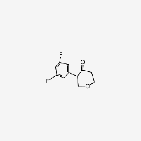 O=C1CCOCC1c1cc(F)cc(F)c1